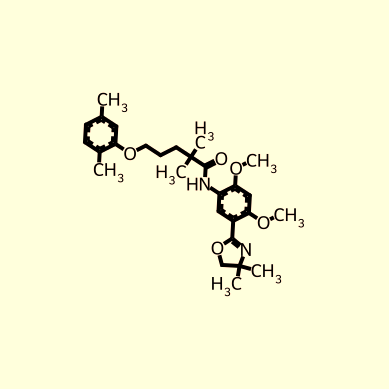 COc1cc(OC)c(C2=NC(C)(C)CO2)cc1NC(=O)C(C)(C)CCCOc1cc(C)ccc1C